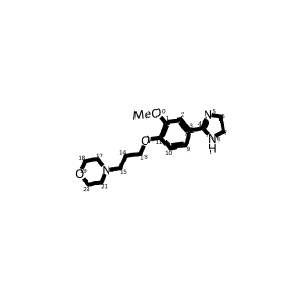 COc1cc(C2=NCCN2)ccc1OCCCN1CCOCC1